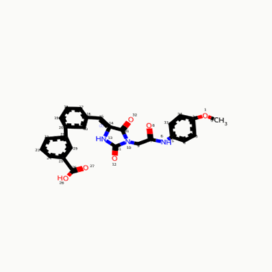 COc1ccc(NC(=O)CN2C(=O)N/C(=C\c3cccc(-c4cccc(C(=O)O)c4)c3)C2=O)cc1